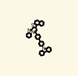 c1ccc2c(c1)ccc1sc3c(cc(-c4ccc(-c5ccc(-n6c7ccccc7c7ccccc76)cc5)cc4)n4c5ccccc5nc34)c12